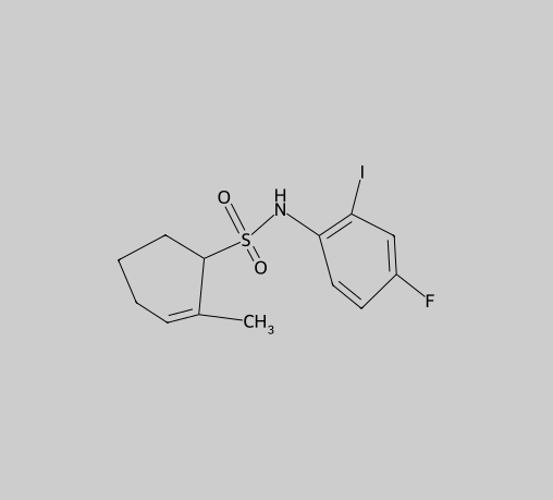 CC1=CCCCC1S(=O)(=O)Nc1ccc(F)cc1I